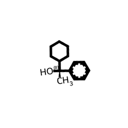 C[C@](O)(c1ccccc1)C1CCCCC1